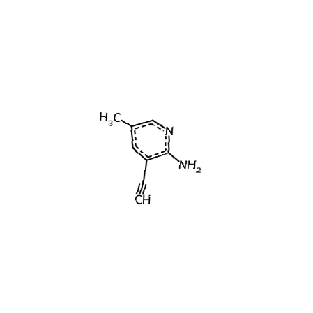 C#Cc1cc(C)cnc1N